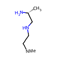 CNCCNC[C@@H](C)N